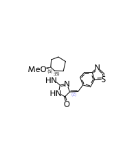 CO[C@H]1CCCC[C@@H]1NC1=N/C(=C\c2ccc3ncsc3c2)C(=O)N1